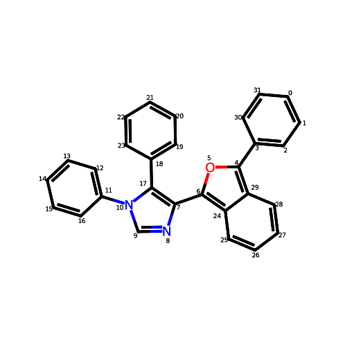 c1ccc(-c2oc(-c3ncn(-c4ccccc4)c3-c3ccccc3)c3ccccc23)cc1